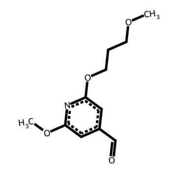 COCCCOc1cc(C=O)cc(OC)n1